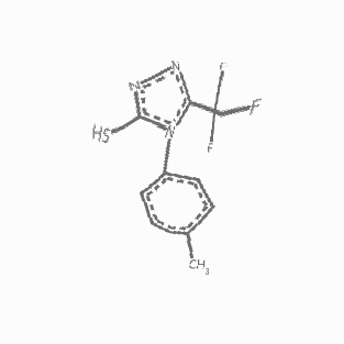 Cc1ccc(-n2c(S)nnc2C(F)(F)F)cc1